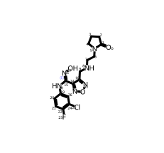 O=C1CCCN1CCNCc1nonc1/C(=N\O)Nc1ccc(F)c(Cl)c1